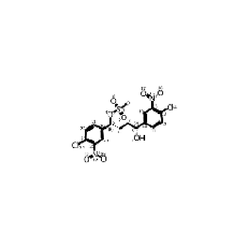 CS(=O)(=O)O[C@H](CC[C@@H](O)c1ccc(Cl)c([N+](=O)[O-])c1)c1ccc(Cl)c([N+](=O)[O-])c1